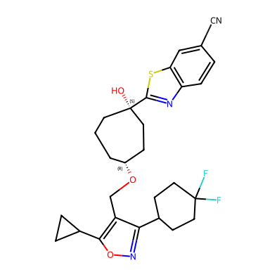 N#Cc1ccc2nc([C@]3(O)CCC[C@@H](OCc4c(C5CCC(F)(F)CC5)noc4C4CC4)CC3)sc2c1